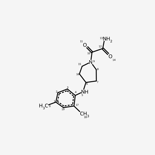 Cc1ccc(NC2CCN(C(=O)C(N)=O)CC2)c(C)c1